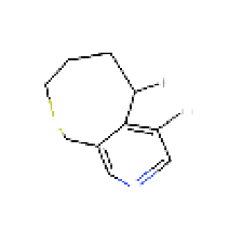 CC(C)c1cncc2c1C(C(C)C)CCCSC2